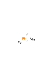 P.[F].[Fe].[Mn]